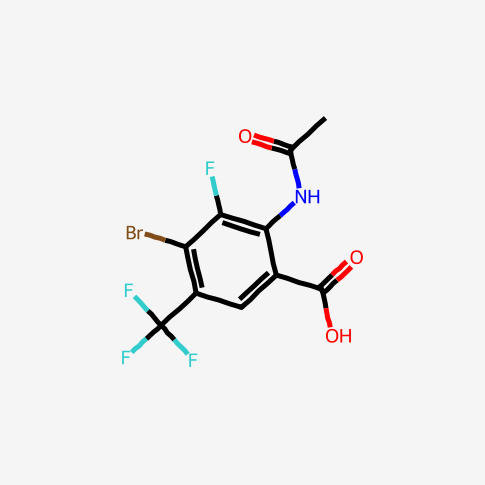 CC(=O)Nc1c(C(=O)O)cc(C(F)(F)F)c(Br)c1F